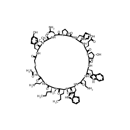 CCCC[C@H]1C(=O)N(C)[C@@H](CCCC)C(=O)N[C@@H](CCN)C(=O)N[C@H](C(N)=O)CSCC(=O)N[C@@H](Cc2ccc(O)cc2)C(=O)N(C)[C@@H](C)C(=O)N[C@@H](CC(N)=O)C(=O)N2CCC[C@H]2C(=O)N[C@@H](Cc2cnc[nH]2)C(=O)N[C@@H](CCC(=O)O)C(=O)N2C[C@H](O)C[C@H]2C(=O)N[C@@H](Cc2c[nH]c3ccccc23)C(=O)N[C@@H](CCN)C(=O)N[C@@H](Cc2c[nH]c3ccccc23)C(=O)N1C